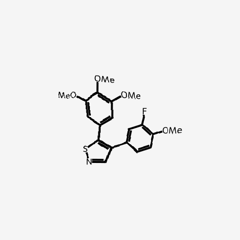 COc1ccc(-c2cnsc2-c2cc(OC)c(OC)c(OC)c2)cc1F